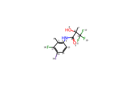 Cc1c(NC(=O)C(C)(O)C(F)(F)F)ccc(I)c1F